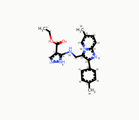 CCOC(=O)c1cn[nH]c1NCc1c(-c2ccc(C)cc2)nc2ccc(C)cn12